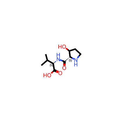 CC(C)[C@H](NC(=O)[C@H]1NCCC1O)C(=O)O